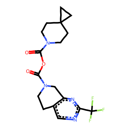 O=C(OC(=O)N1CCc2cnc(C(F)(F)F)nc2C1)N1CCC2(CC1)CC2